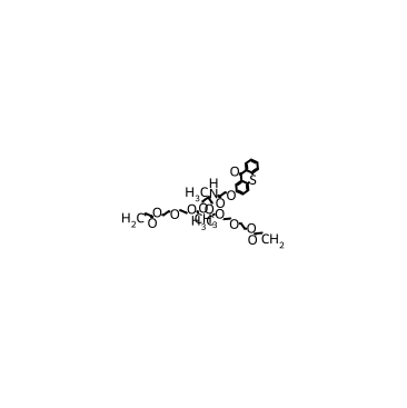 C=CC(=O)OCCOCCOC(C)OCC(C)(COC(C)OCCOCCOC(=O)C=C)NC(=O)COc1ccc2sc3ccccc3c(=O)c2c1